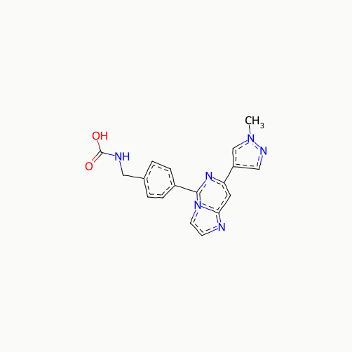 Cn1cc(-c2cc3nccn3c(-c3ccc(CNC(=O)O)cc3)n2)cn1